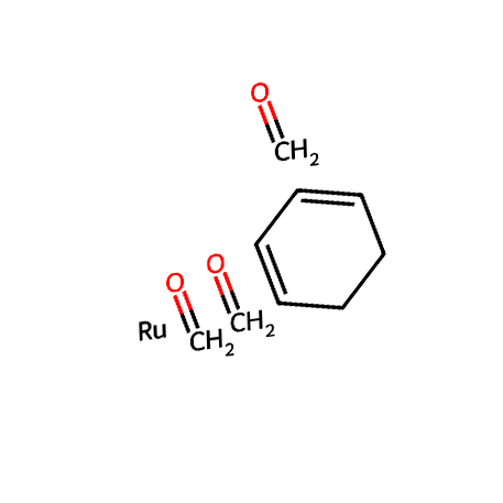 C1=CCCC=C1.C=O.C=O.C=O.[Ru]